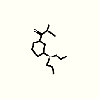 CCCN(CCC)C1CCCC(C(=O)C(C)C)C1